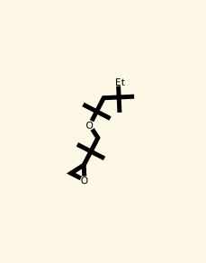 CCC(C)(C)CC(C)(C)OCC(C)(C)C1CO1